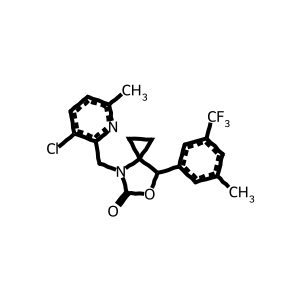 Cc1cc(C2OC(=O)N(Cc3nc(C)ccc3Cl)C23CC3)cc(C(F)(F)F)c1